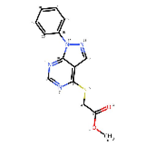 COC(=O)CSc1ncnc2c1cnn2-c1ccccc1